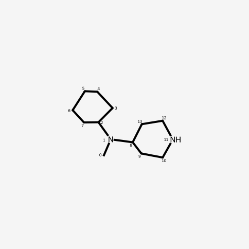 CN(C1CCCCC1)C1CCNCC1